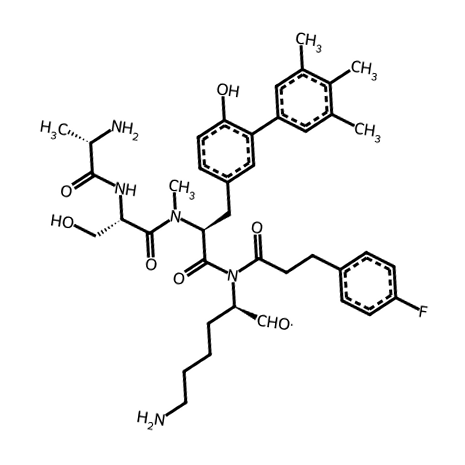 Cc1cc(-c2cc(C[C@@H](C(=O)N(C(=O)CCc3ccc(F)cc3)[C@@H]([C]=O)CCCCN)N(C)C(=O)[C@H](CO)NC(=O)[C@H](C)N)ccc2O)cc(C)c1C